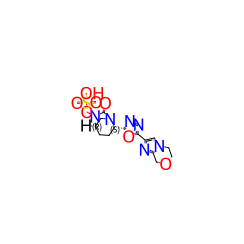 O=C1N2C[C@@H](CC[C@H]2c2nnc(-c3cn4c(n3)COCC4)o2)N1OS(=O)(=O)O